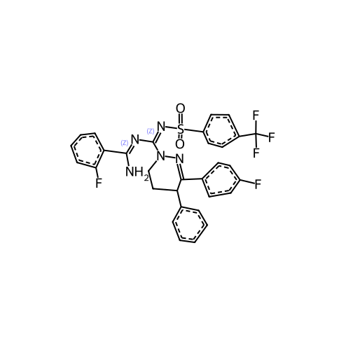 N/C(=N\C(=N\S(=O)(=O)c1ccc(C(F)(F)F)cc1)N1CCC(c2ccccc2)C(c2ccc(F)cc2)=N1)c1ccccc1F